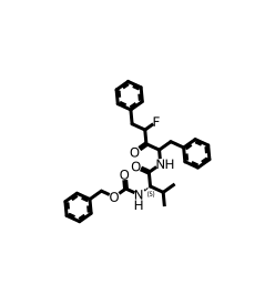 CC(C)[C@H](NC(=O)OCc1ccccc1)C(=O)NC(Cc1ccccc1)C(=O)C(F)Cc1ccccc1